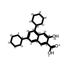 O=C(O)c1cc2cc(C3CCCCC3)cc(C3CCCCC3)c2cc1O